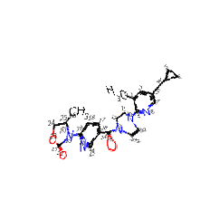 Cc1cc(C2CC2)cnc1N1CCN(C(=O)c2ccc(N3C(=O)OC[C@H]3C)nc2)CC1